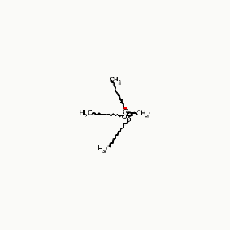 [CH2]CCc1cc(OCCCCCCCCCCCCCCC)c(OCCCCCCCCCCCCCCC)c(OCCCCCCCCCCCCCCC)c1